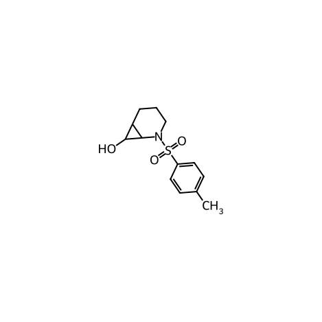 Cc1ccc(S(=O)(=O)N2CCCC3C(O)C32)cc1